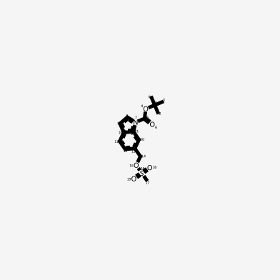 CC(C)(C)OC(=O)n1ccc2ccc(COS(C)(=O)=O)cc21